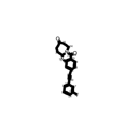 O=C1CCc2nc3cc(C#Cc4cccc(F)c4)ccc3c(=O)n2CC1